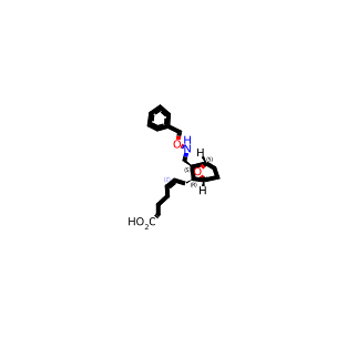 O=C(O)CCC/C=C\C[C@@H]1[C@@H](CNOCc2ccccc2)[C@@H]2CC[C@H]1O2